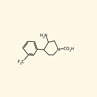 NC1CN(C(=O)O)CCC1c1cccc(C(F)(F)F)c1